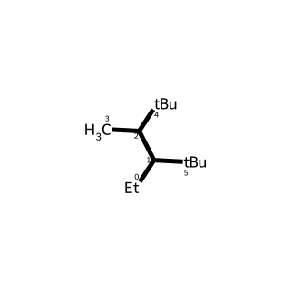 CCC([C](C)C(C)(C)C)C(C)(C)C